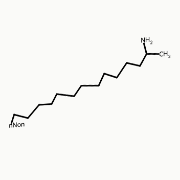 CCCCCCCCCCCCCCCCCCCCCC(C)N